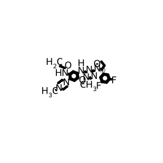 C=CC(=O)Nc1cc(Nc2ncnc(N3OCC[C@@H]3c3cc(F)cc(F)c3)n2)c(OC)cc1N1CCN(C)CC1